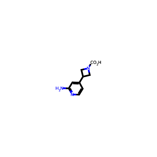 Nc1cc(C2CN(C(=O)O)C2)ccn1